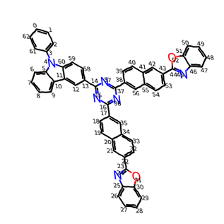 c1ccc(-n2c3ccccc3c3cc(-c4nc(-c5ccc6cc(-c7nc8ccccc8o7)ccc6c5)nc(-c5ccc6cc(-c7nc8ccccc8o7)ccc6c5)n4)ccc32)cc1